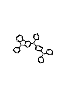 c1ccc(N(c2ccccc2)c2ccc(N(c3ccccc3)c3ccc4c(c3)c3cccnc3n4-c3ccccc3)cc2)cc1